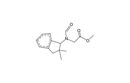 COC(=O)CN(C=O)C1c2ccccc2CC1(C)C